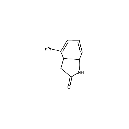 CCCC1=CC=CC2NC(=O)CC12